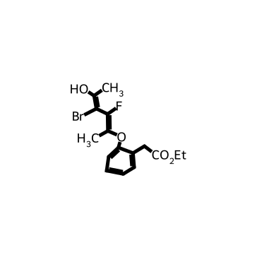 CCOC(=O)Cc1ccccc1O/C(C)=C(F)/C(Br)=C(\C)O